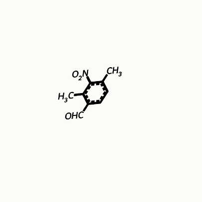 Cc1ccc(C=O)c(C)c1[N+](=O)[O-]